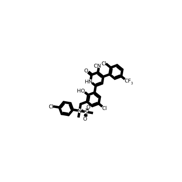 C[N+](Cc1cc(Cl)cc(-c2cc(-c3cc(C(F)(F)F)ccc3Cl)c(C#N)c(=O)[nH]2)c1O)(c1ccc(Cl)cc1)S(C)(=O)=O